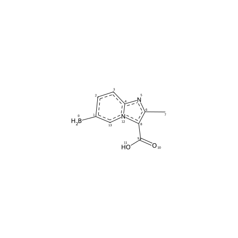 Bc1ccc2nc(C)c(C(=O)O)n2c1